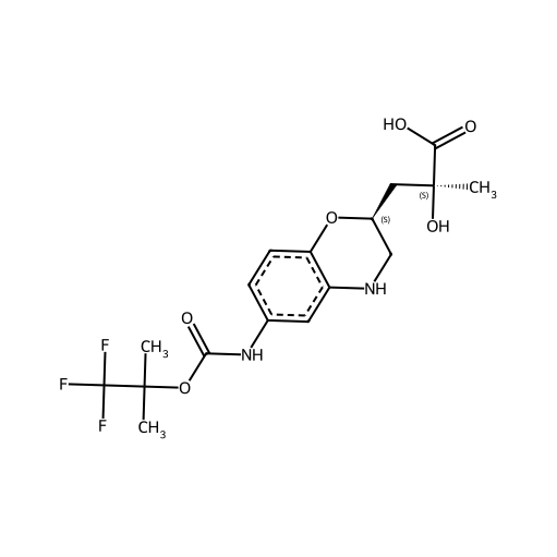 CC(C)(OC(=O)Nc1ccc2c(c1)NC[C@H](C[C@](C)(O)C(=O)O)O2)C(F)(F)F